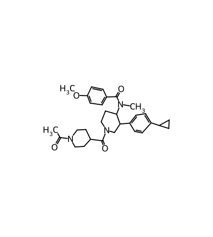 COc1ccc(C(=O)N(C)C2CCN(C(=O)C3CCN(C(C)=O)CC3)CC2c2ccc(C3CC3)cc2)cc1